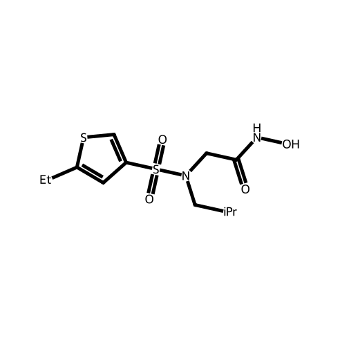 CCc1cc(S(=O)(=O)N(CC(=O)NO)CC(C)C)cs1